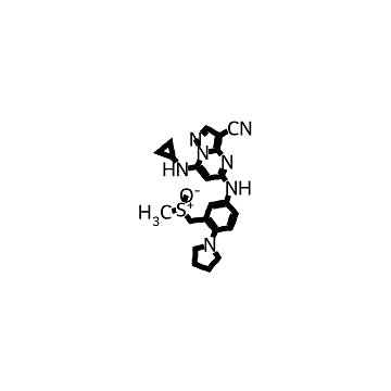 C[S+]([O-])Cc1cc(Nc2cc(NC3CC3)n3ncc(C#N)c3n2)ccc1N1CCCC1